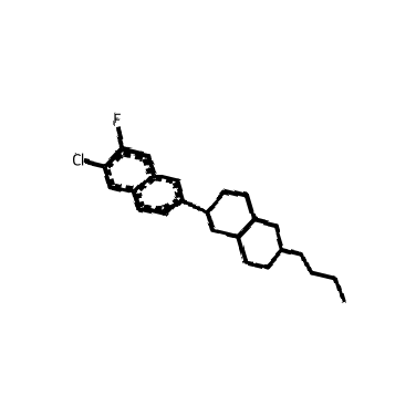 CCCCC1CCC2CC(c3ccc4cc(Cl)c(F)cc4c3)CCC2C1